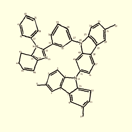 Cc1ccc2c(c1)c1cc(C)ccc1n2-c1ccc2c3cc(C)ccc3n(-c3cccc(-c4nc5c(n4-c4ccccc4)CCC=C5)c3)c2c1